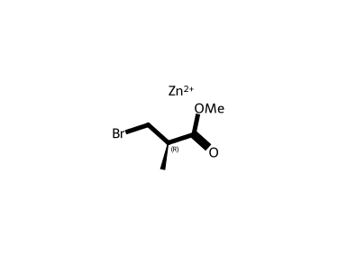 COC(=O)[C@@H](C)CBr.[Zn+2]